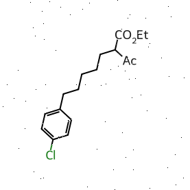 CCOC(=O)C(CCCCCc1ccc(Cl)cc1)C(C)=O